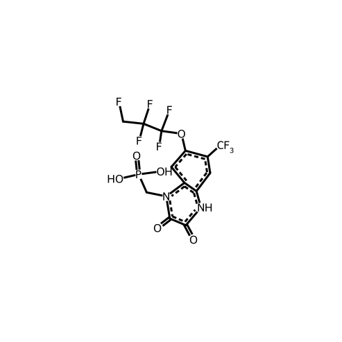 O=c1[nH]c2cc(C(F)(F)F)c(OC(F)(F)C(F)(F)CF)cc2n(CP(=O)(O)O)c1=O